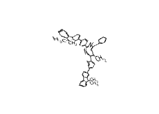 C=C1C=C(c2ccccc2)N=C(c2ccc(C3=CCC4c5ccccc5C(C)(C)C4C3)cc2)N=C1c1ccc(-c2ccc3c(c2)C(C)(C)c2ccccc2-3)cc1